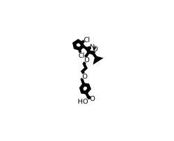 O=C(O)c1ccc(COCCCOCc2c(-c3c(Cl)cccc3Cl)noc2C2CC2)cc1